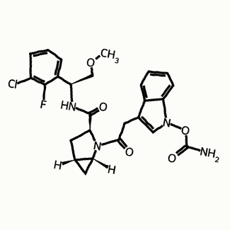 COC[C@@H](NC(=O)[C@@H]1C[C@H]2C[C@H]2N1C(=O)Cc1cn(OC(N)=O)c2ccccc12)c1cccc(Cl)c1F